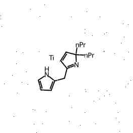 CCCC1(CCC)C=CC(Cc2ccc[nH]2)=N1.[Ti]